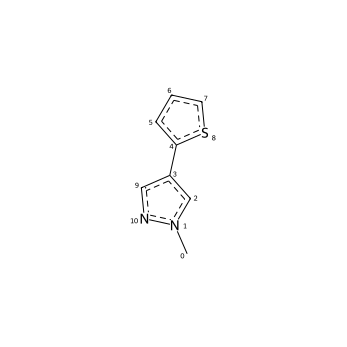 Cn1cc(-c2cccs2)[c]n1